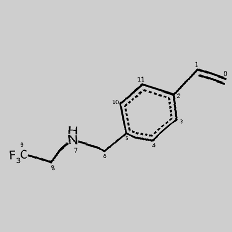 C=Cc1ccc(CNCC(F)(F)F)cc1